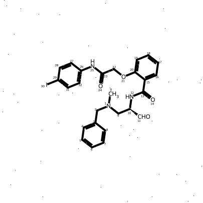 CN(Cc1ccccc1)C[C@H](C=O)NC(=O)c1ccccc1OCC(=O)Nc1ccc(I)cc1